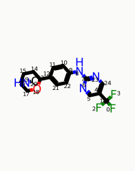 FC(F)(F)c1cnc(Nc2ccc(C34CCC(CO3)NC4)cc2)nc1